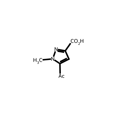 CC(=O)c1cc(C(=O)O)nn1C